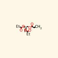 C=CC(=O)OC[SiH](OC(=O)CC)OC(=O)CC